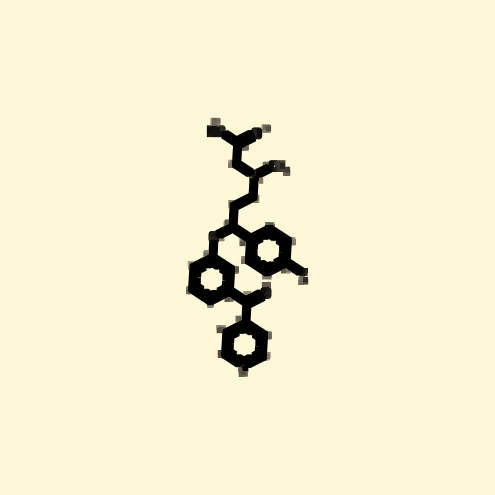 CN(CCC(Oc1cccc(C(=O)c2ccncc2)c1)c1ccc(F)cc1)CC(=O)O